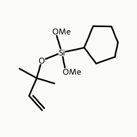 C=CC(C)(C)O[Si](OC)(OC)C1CCCCC1